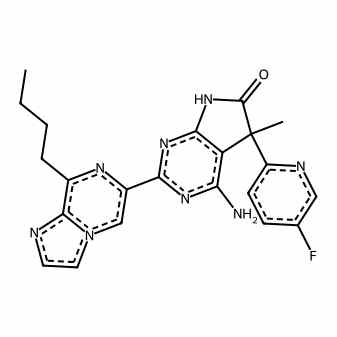 CCCCc1nc(-c2nc(N)c3c(n2)NC(=O)C3(C)c2ccc(F)cn2)cn2ccnc12